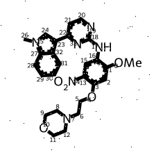 COc1cc(OCCN2CCOCC2)c([N+](=O)[O-])cc1Nc1nccc(-c2cn(C)c3ccccc23)n1